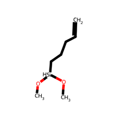 C=CCCC[SiH](OC)OC